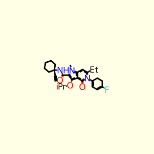 C#CC1(NC(=O)c2c(OC(C)C)c3c(=O)n(C4=CC=C(F)CC4)c(CC)cc3n2C)CCCCC1